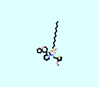 CCCCCCCCCCCCS(=O)(=O)ON(CC[C@@]1(c2ccccn2)CCOC2(CCCC2)C1)Cc1sccc1OC